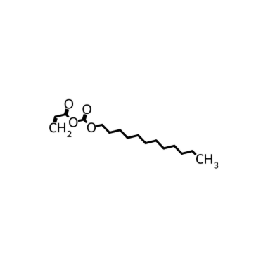 C=CC(=O)OC(=O)OCCCCCCCCCCCC